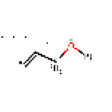 C=C[SiH2][O][Pt]